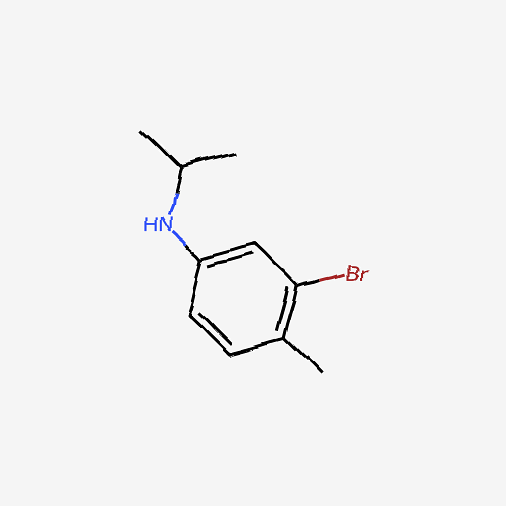 Cc1ccc(NC(C)C)cc1Br